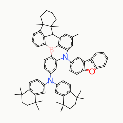 Cc1cc2c3c(c1)N(c1ccc4oc5ccccc5c4c1)c1cc(N(c4ccc5c(c4)C(C)(C)CCC5(C)C)c4ccc5c(c4)C(C)(C)CCC5(C)C)ccc1B3c1cccc3c1C2C1(C)CCCCC31C